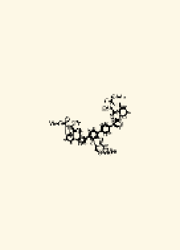 CC[C@H](NC(=O)OC)C(=O)N1CCCC[C@H]1c1ncc(-c2ccc(-c3ccc(-c4cnc([C@@H]5CCCN5C(=O)[C@@H](NC(=O)OC)C(C)C)[nH]4)c(OCCOC)c3OCCOC)cc2)[nH]1